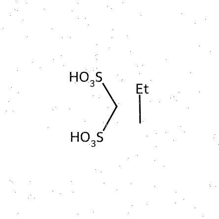 CCC.O=S(=O)(O)CS(=O)(=O)O